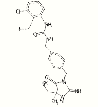 CC(C)CC1(C)NC(=N)N(Cc2ccc(CNC(=O)Nc3cccc(Cl)c3CI)cc2)C1=O